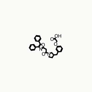 O=C(O)COc1cccc(CC2CCN(C(=O)Cc3nc(-c4ccccc4)c(-c4ccccc4)o3)C2)c1